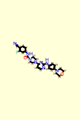 N#Cc1ccc(NC(=O)N2CCN(c3ccnc(Nc4ccc(N5CCOCC5)cc4)n3)CC2)cc1F